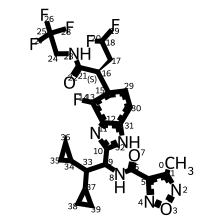 Cc1nonc1C(=O)NC(c1nc2c(F)c([C@H](CC(F)F)C(=O)NCC(F)(F)F)ccc2[nH]1)C(C1CC1)C1CC1